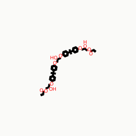 C=CC(=O)OCC(O)COc1ccc(C(C)(C)c2ccc(OCC(O)COc3ccc(C(C)(C)c4ccc(OCC(O)COC(=O)C=C)cc4)cc3)cc2)cc1